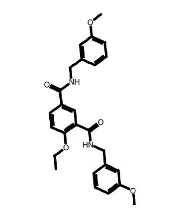 CCOc1ccc(C(=O)NCc2cccc(OC)c2)cc1C(=O)NCc1cccc(OC)c1